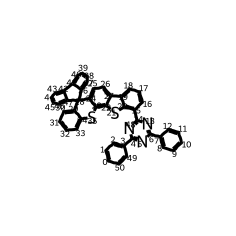 c1ccc(-c2nc(-c3ccccc3)nc(-c3cccc4c3sc3c5c(ccc34)C3(c4ccccc4S5)c4ccccc4-c4ccccc43)n2)cc1